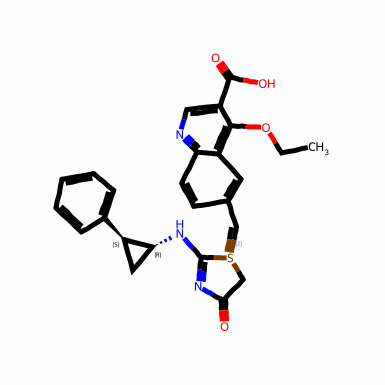 CCOc1c(C(=O)O)cnc2ccc(/C=S3/CC(=O)N=C3N[C@@H]3C[C@H]3c3ccccc3)cc12